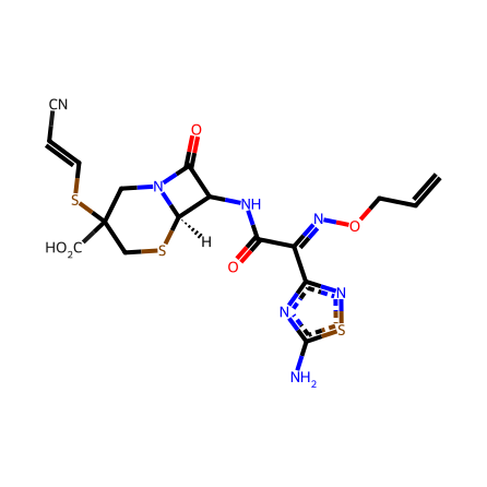 C=CCON=C(C(=O)NC1C(=O)N2CC(SC=CC#N)(C(=O)O)CS[C@H]12)c1nsc(N)n1